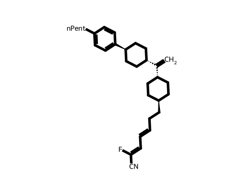 C=C([C@H]1CC[C@H](CC/C=C/C=C(\F)C#N)CC1)[C@H]1CC[C@H](c2ccc(CCCCC)cc2)CC1